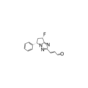 O=C/C=C/c1nc2n(n1)[C@H](c1ccccc1)C[C@@H]2F